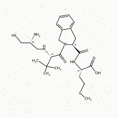 CSCC[C@H](NC(=O)[C@@H]1Cc2ccccc2CN1C(=O)[C@@H](NC[C@@H](N)CS)C(C)(C)C)C(=O)O